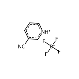 F[B-](F)(F)F.N#Cc1ccc[nH+]c1